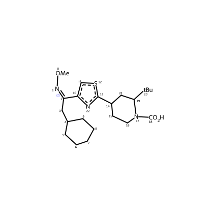 CO/N=C(/CC1CCCCC1)c1csc(C2CCN(C(=O)O)C(C(C)(C)C)C2)n1